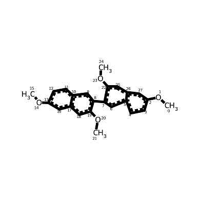 COc1ccc2cc(-c3cc4ccc(OC)cc4cc3OC)c(OC)cc2c1